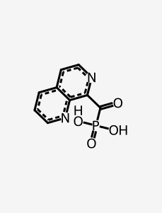 O=C(c1nccc2cccnc12)P(=O)(O)O